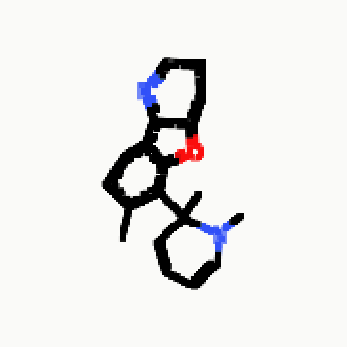 Cc1ccc2c(oc3cccnc32)c1C1(C)C=CC=CN1C